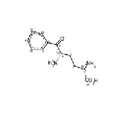 N[C@@H](CC[C@H](N)C(=O)c1ccccc1)C(=O)O